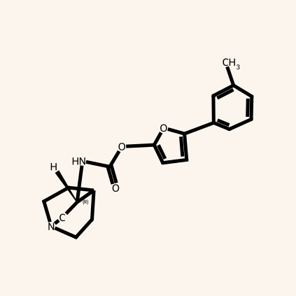 Cc1cccc(-c2ccc(OC(=O)N[C@H]3CN4CCC3CC4)o2)c1